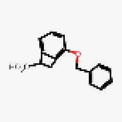 O=C(O)C1Cc2c(OCc3ccccc3)cccc21